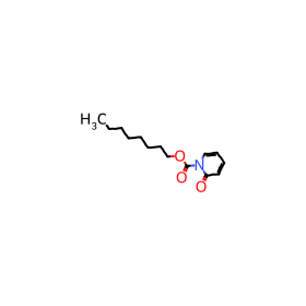 CCCCCCCCOC(=O)n1ccccc1=O